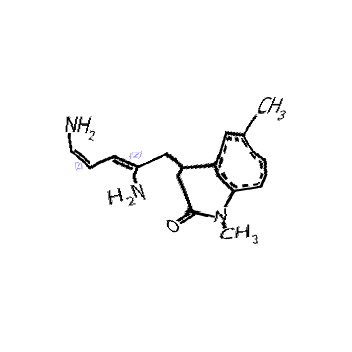 Cc1ccc2c(c1)C(C/C(N)=C/C=C\N)C(=O)N2C